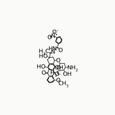 COc1cccc2c1C(=O)c1c(O)c3c(c(O)c1C2=O)CC(O)(C(C)=NNC(=O)c1cccc([N+](=O)[O-])c1)CC3OC1CC(N)C(O)C(C)O1